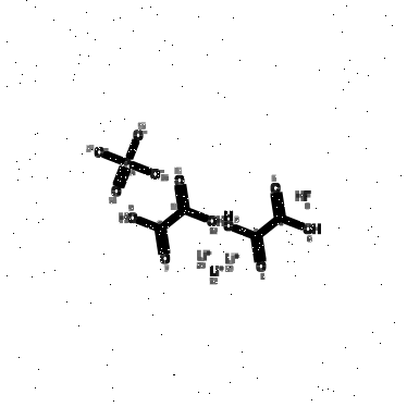 F.O=C(O)C(=O)O.O=C(O)C(=O)O.O=P([O-])([O-])[O-].[Li+].[Li+].[Li+]